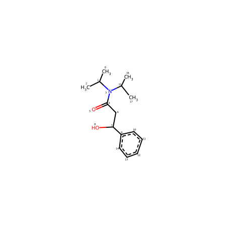 CC(C)N(C(=O)CC(O)c1ccccc1)C(C)C